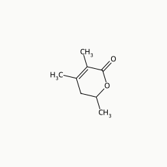 CC1=C(C)C(=O)OC(C)C1